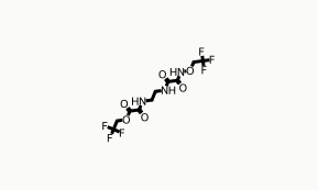 O=C(NCCNC(=O)C(=O)OCC(F)(F)F)C(=O)NOCC(F)(F)F